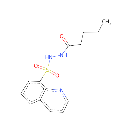 CCCCC(=O)NNS(=O)(=O)c1cccc2cccnc12